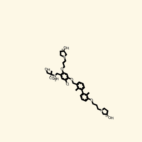 Cc1c(COc2cc(OCCCN3CC[C@@H](O)C3)c(CN[C@](C)(CO)C(=O)O)cc2Cl)cccc1-c1cccc(OCCCN2CC[C@@H](O)C2)c1C